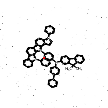 CC1(C)c2ccccc2-c2ccc(N(c3ccc(-c4ccccc4)cc3)c3ccc(-n4c5c(ccc6c5ccn6-c5ccccc5)c5ccc6c7ccccc7n(-c7ccccc7)c6c54)cc3)cc21